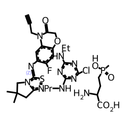 C#CCN1C(=O)COc2cc(F)c(/N=c3\snc4n3CC(C)(C)C4)cc21.CCNc1nc(Cl)nc(NC(C)C)n1.CP(=O)(O)CCC(N)C(=O)O